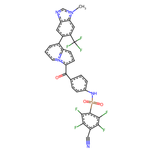 Cn1cnc2cc(-c3cccn4c(C(=O)c5ccc(NS(=O)(=O)c6c(F)c(F)c(C#N)c(F)c6F)cc5)ccc34)c(C(F)(F)F)cc21